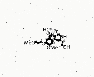 COCCCOc1cc(C(=O)N(C(C)C)[C@@H]2CC[C@H](CCO)NC2)ccc1OC.Cl